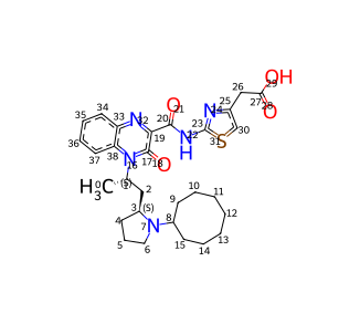 C[C@@H](C[C@@H]1CCCN1C1CCCCCCC1)n1c(=O)c(C(=O)Nc2nc(CC(=O)O)cs2)nc2ccccc21